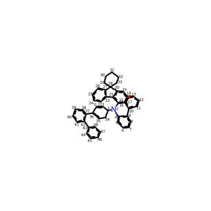 C1=CC(N(c2ccccc2-c2ccccc2)c2cccc3c2-c2ccccc2C32CCCCC2)CC=C1c1ccccc1-c1ccccc1